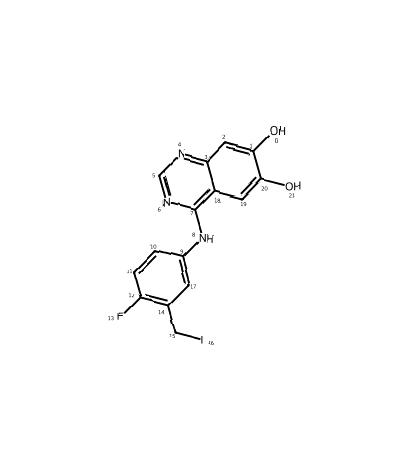 Oc1cc2ncnc(Nc3ccc(F)c(CI)c3)c2cc1O